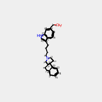 OCc1ccc2c(CCCCN3CCC4=C(CCc5ccccc54)C3)c[nH]c2c1